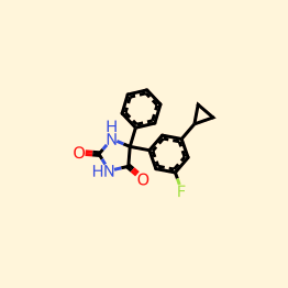 O=C1NC(=O)C(c2ccccc2)(c2cc(F)cc(C3CC3)c2)N1